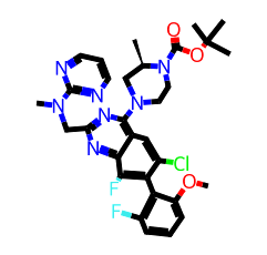 COc1cccc(F)c1-c1c(Cl)cc2c(N3CCN(C(=O)OC(C)(C)C)[C@H](C)C3)nc(CN(C)c3ncccn3)nc2c1F